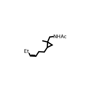 CC/C=C\CCC1CC1(C)CNC(C)=O